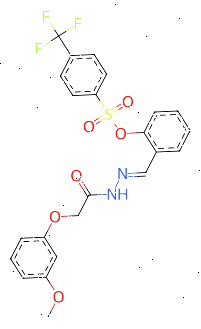 COc1cccc(OCC(=O)N/N=C/c2ccccc2OS(=O)(=O)c2ccc(C(F)(F)F)cc2)c1